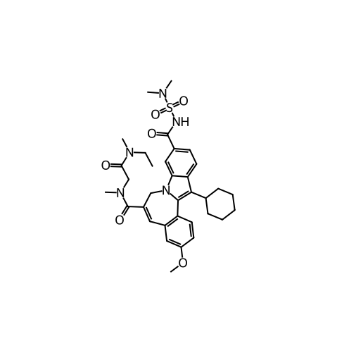 CCN(C)C(=O)CN(C)C(=O)C1=Cc2cc(OC)ccc2-c2c(C3CCCCC3)c3ccc(C(=O)NS(=O)(=O)N(C)C)cc3n2C1